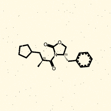 C[C@@H](CC1CCCC1)C(=O)N1C(=O)OC[C@@H]1Cc1ccccc1